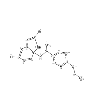 CCC(=O)NC1(NC(C)c2ccc(OCC(F)(F)F)nc2)C=NC(Cl)=CN1